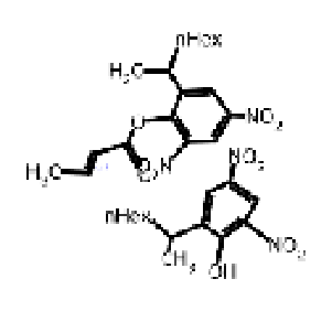 C/C=C/C(=O)Oc1c(C(C)CCCCCC)cc([N+](=O)[O-])cc1[N+](=O)[O-].CCCCCCC(C)c1cc([N+](=O)[O-])cc([N+](=O)[O-])c1O